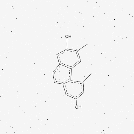 Cc1cc2c(ccc3cc(O)cc(C)c32)cc1O